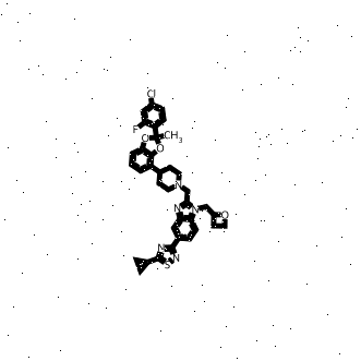 CC1(c2ccc(Cl)cc2F)Oc2cccc(C3CCN(Cc4nc5cc(-c6nsc(C7CC7)n6)ccc5n4CC4CCO4)CC3)c2O1